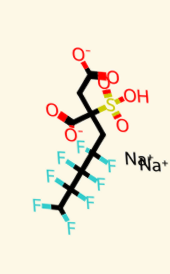 O=C([O-])CC(CC(F)(F)C(F)(F)C(F)(F)C(F)F)(C(=O)[O-])S(=O)(=O)O.[Na+].[Na+]